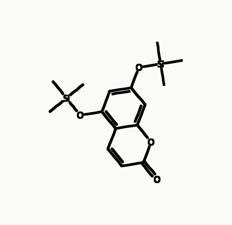 C[Si](C)(C)Oc1cc(O[Si](C)(C)C)c2ccc(=O)oc2c1